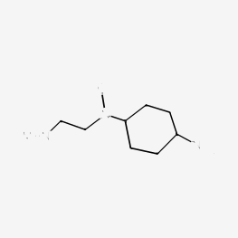 CNCCN(C)C1CCC(N)CC1